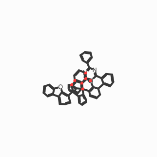 C1=CC2=C(Oc3ccccc3C23c2ccccc2-c2ccccc23)C(c2ccccc2-c2nc(-c3ccccc3)nc(-c3ccc(-c4cccc5c4oc4ccccc45)cc3)n2)C1